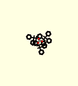 CC(OP(OC(C)(c1ccccc1)C(C)(c1ccccc1)c1ccccc1)OC(C)(c1ccccc1)C(C)(c1ccccc1)c1ccccc1)(c1ccccc1)C(C)(c1ccccc1)c1ccccc1